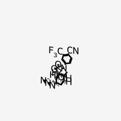 N#Cc1ccc(N2C[C@H]3[C@H]([C@H]4O[C@@H]3C[C@H]4N=[N+]=[N-])S2(=O)=O)cc1C(F)(F)F